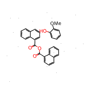 COc1ccccc1O.O=C(OC(=O)c1cccc2ccccc12)c1cccc2ccccc12